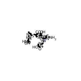 Cc1cc(SCC2=C(C(=O)O)N3C(=O)[C@@H](NC(=O)/C(=N\OCc4ncc(O)c(=O)n4C)c4csc(N)n4)[C@H]3SC2)n2nc(C(=O)NO)nc2n1